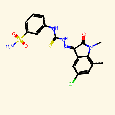 Cc1cc(Cl)cc2c1N(C)C(=O)C2=NNC(=S)Nc1cccc(S(N)(=O)=O)c1